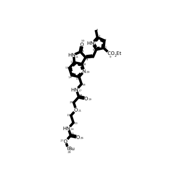 CCOC(=O)c1cc(C)[nH]c1/C=C1\C(=O)Nc2ccc(CNC(=O)COCCNC(=O)OC(C)(C)C)nc21